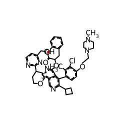 Cc1c(-c2c(C3CCC3)ncc3snc(OC(Cc4ccccc4OCc4ccnc(C5CCOCC5)n4)C(=O)O)c23)ccc(OCCN2CCN(C)CC2)c1Cl